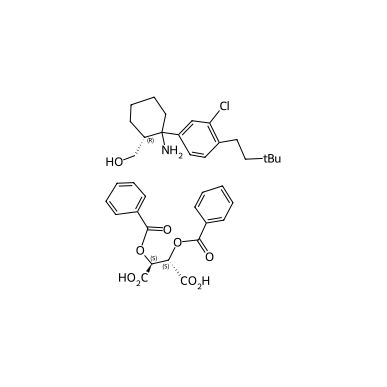 CC(C)(C)CCc1ccc(C2(N)CCCC[C@H]2CO)cc1Cl.O=C(O[C@H](C(=O)O)[C@H](OC(=O)c1ccccc1)C(=O)O)c1ccccc1